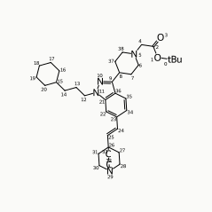 CC(C)(C)OC(=O)CN1CCC(c2nn(CCCC3CCCCC3)c3cc(C=CC45CCN(CC4)CC5)ccc23)CC1